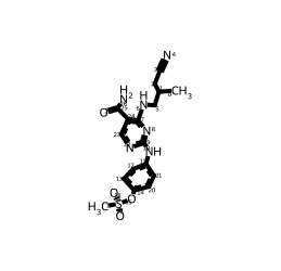 CC(CC#N)CNc1nc(Nc2ccc(OS(C)(=O)=O)cc2)ncc1C(N)=O